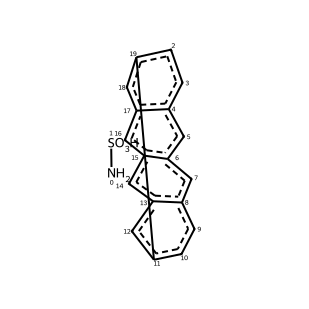 NS(=O)(=O)O.c1cc2cc3cc4ccc5cc4cc3cc2cc1-5